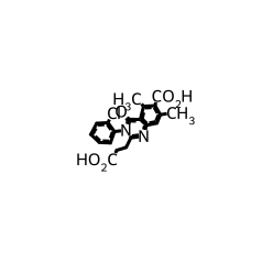 Cc1cc2nc(CCC(=O)O)n(-c3ccccc3Cl)c(=O)c2c(C)c1C(=O)O